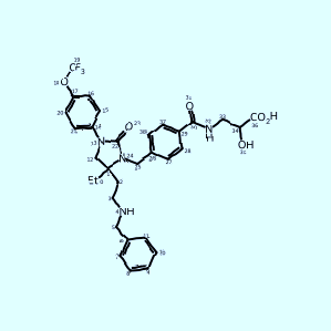 CCC1(CCNCc2ccccc2)CN(c2ccc(OC(F)(F)F)cc2)C(=O)N1Cc1ccc(C(=O)NCC(O)C(=O)O)cc1